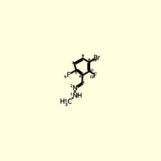 CN/N=C/c1c(F)ccc(Br)c1F